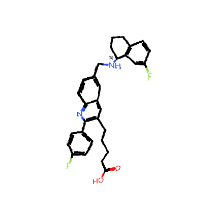 O=C(O)CCCCc1cc2cc(CN[C@H]3CCCc4ccc(F)cc43)ccc2nc1-c1ccc(F)cc1